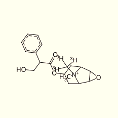 [3H]C([3H])([3H])[N+]1(C)C2CC(OC(=O)C(CO)c3ccccc3)CC1C1OC12